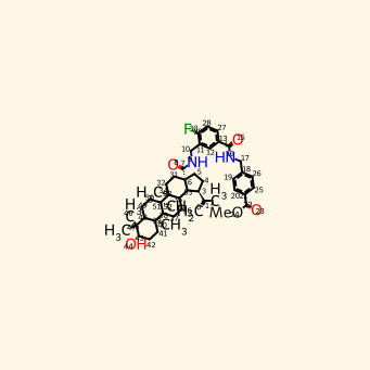 C=C(C)[C@@H]1CC[C@]2(C(=O)NCc3cc(C(=O)NCc4ccc(C(=O)OC)cc4)ccc3F)CC[C@]3(C)C(CCC4[C@@]5(C)CC[C@H](O)C(C)(C)C5CC[C@]43C)C12